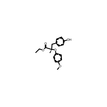 CCOC(=O)[C@](C)(Cc1ccc(O)cc1)Oc1ccc(OC)cc1